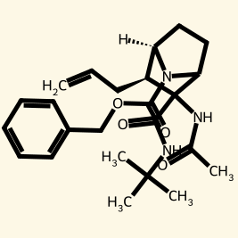 C=CC[C@H]1[C@H]2CCC(N2C(=O)OCc2ccccc2)C1(NC(C)=O)C(=O)NC(C)(C)C